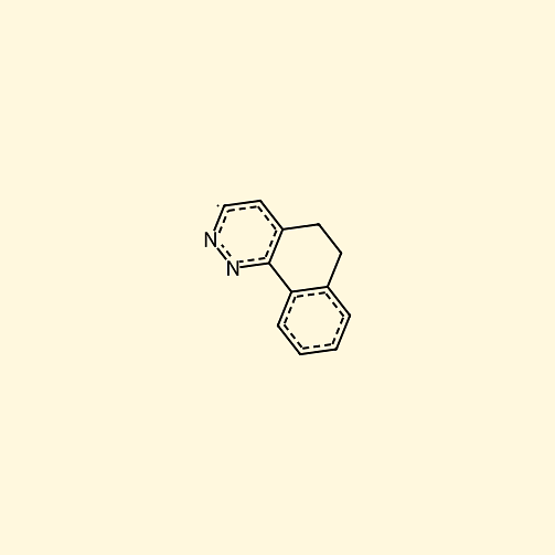 [c]1cc2c(nn1)-c1ccccc1CC2